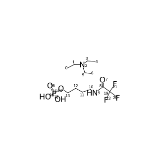 CCN(CC)CC.O=C(NCCCCOP(=O)(O)O)C(F)(F)F